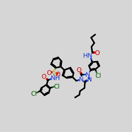 CCCCC(=O)Nc1ccc(Cl)c(-n2nc(CCCC)n(Cc3ccc(-c4ccccc4S(=O)(=O)NC(=O)c4cc(Cl)ccc4Cl)cc3)c2=O)c1